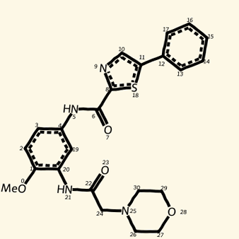 COc1ccc(NC(=O)c2ncc(-c3ccccc3)s2)cc1NC(=O)CN1CCOCC1